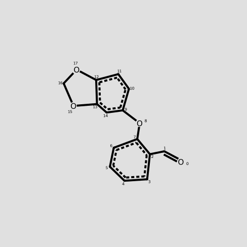 O=Cc1ccccc1Oc1ccc2c(c1)OCO2